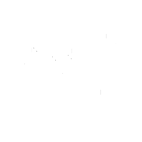 C[C@@H]1C(=O)NCCN1C(=O)NC(c1ccc(F)c(Cl)c1)C1CCC(F)(F)CC1